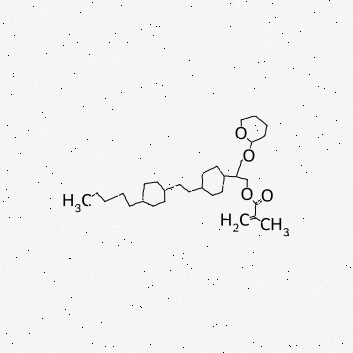 C=C(C)C(=O)OCC(COC1CCCCO1)C1CCC(CCC2CCC(CCCCC)CC2)CC1